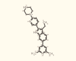 CCc1c(-c2ccc(N3CCNCC3)nc2)[nH]c2cc(-c3cc(C)nc(C)c3)ccc12